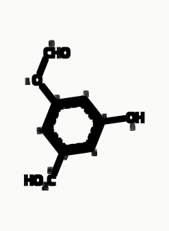 O=COc1cc(O)cc(C(=O)O)c1